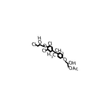 CC(=O)OC[C@@H](O)COc1ccc(C(C)(C)c2cc(Cl)c(OC[C@@H](O)CCl)c(Cl)c2)cc1